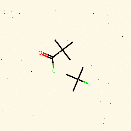 CC(C)(C)C(=O)Cl.CC(C)(C)Cl